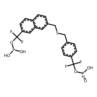 O=[PH](O)OC(F)(F)c1ccc(CSCc2ccc3ccc(C(F)(F)OP(O)O)cc3c2)cc1